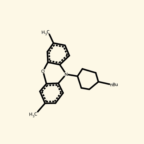 CCCCC1CCC(N2c3ccc(C)cc3Oc3cc(C)ccc32)CC1